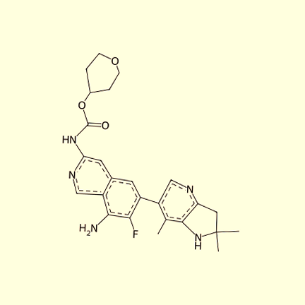 Cc1c(-c2cc3cc(NC(=O)OC4CCOCC4)ncc3c(N)c2F)cnc2c1NC(C)(C)C2